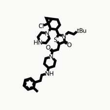 Cc1ccccc1CCNC1CCN(C(=O)CC2SC(C3CCC4CC4(Cl)C3N3CCNCC3)N(CCC(C)(C)C)C2=O)CC1